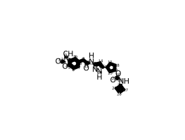 Cn1c(=O)oc2ccc(CC(=O)Nc3cc([C@H]4CC[C@@H](OC(=O)NC56CC(C5)C6)C4)[nH]n3)cc21